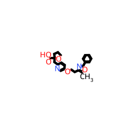 Cc1oc(-c2ccccc2)nc1CCOc1ccc(CC2(C(=O)O)CCCO2)nc1